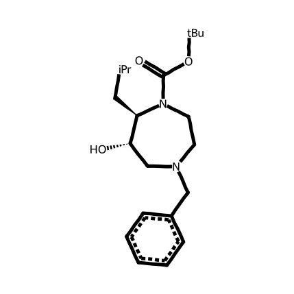 CC(C)C[C@@H]1[C@@H](O)CN(Cc2ccccc2)CCN1C(=O)OC(C)(C)C